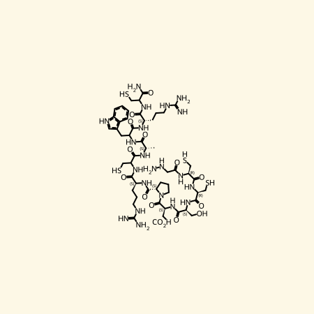 C[C@H](NC(=O)C(CS)NC(=O)[C@H](CCCNC(=N)N)NC(=O)[C@@H]1CCCN1C(=O)[C@H](CC(=O)O)NC(=O)[C@H](CO)NC(=O)[C@H](CS)NC(=O)[C@H](CS)NC(=O)CNN)C(=O)NC(Cc1c[nH]c2ccccc12)C(=O)N[C@@H](CCCNC(=N)N)C(=O)NC(CS)C(N)=O